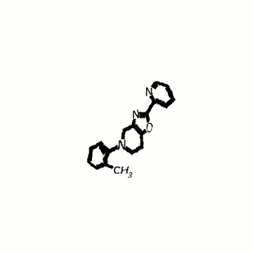 Cc1ccccc1N1CCc2oc(-c3ccccn3)nc2C1